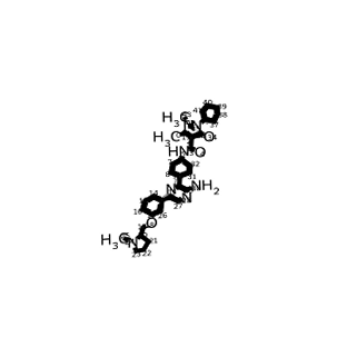 Cc1c(C(=O)Nc2ccc(-c3nc(-c4cccc(OCC5CCCN5C)c4)cnc3N)cc2)c(=O)n(-c2ccccc2)n1C